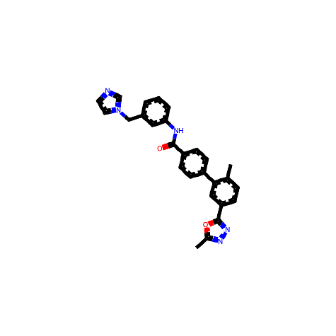 Cc1nnc(-c2ccc(C)c(-c3ccc(C(=O)Nc4cccc(Cn5ccnc5)c4)cc3)c2)o1